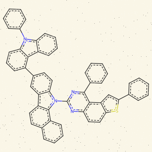 c1ccc(-c2cc3c(ccc4nc(-n5c6ccc(-c7cccc8c7c7ccccc7n8-c7ccccc7)cc6c6ccc7ccccc7c65)nc(-c5ccccc5)c43)s2)cc1